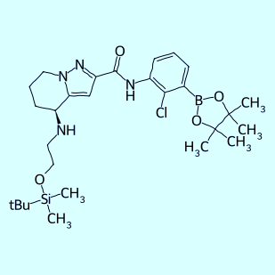 CC1(C)OB(c2cccc(NC(=O)c3cc4n(n3)CCC[C@@H]4NCCO[Si](C)(C)C(C)(C)C)c2Cl)OC1(C)C